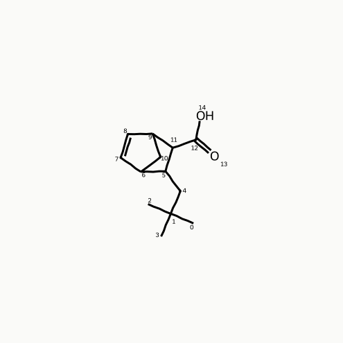 CC(C)(C)CC1C2C=CC(C2)C1C(=O)O